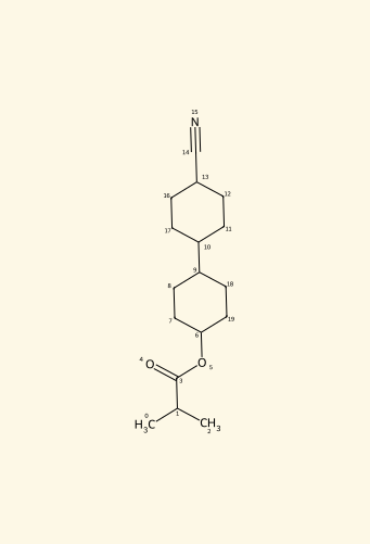 CC(C)C(=O)OC1CCC(C2CCC(C#N)CC2)CC1